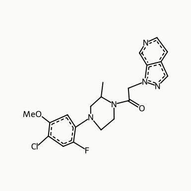 COc1cc(N2CCN(C(=O)Cn3ncc4ccncc43)C(C)C2)c(F)cc1Cl